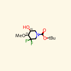 CO[C@H]1[C@@H](O)CN(C(=O)OC(C)(C)C)CC1(F)F